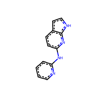 c1ccc(Nc2ccc3cc[nH]c3n2)nc1